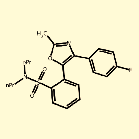 CCCN(CCC)S(=O)(=O)c1ccccc1-c1oc(C)nc1-c1ccc(F)cc1